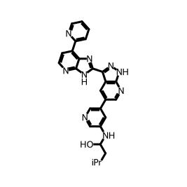 CC(C)CC(O)Nc1cncc(-c2cnc3[nH]nc(-c4nc5c(-c6ccccn6)ccnc5[nH]4)c3c2)c1